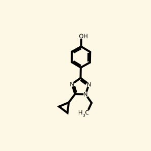 CCn1nc(-c2ccc(O)cc2)nc1C1CC1